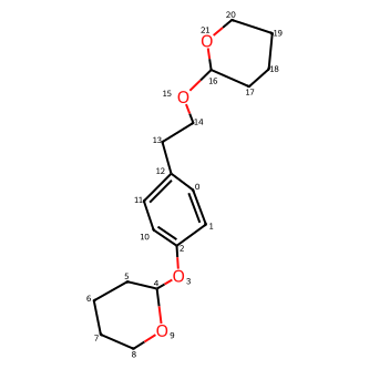 c1cc(OC2CCCCO2)ccc1CCOC1CCCCO1